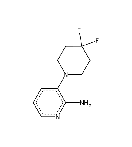 Nc1ncccc1N1CCC(F)(F)CC1